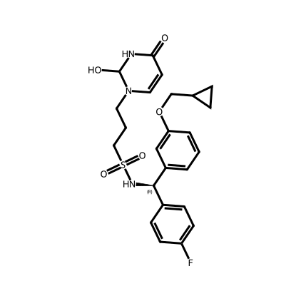 O=C1C=CN(CCCS(=O)(=O)N[C@H](c2ccc(F)cc2)c2cccc(OCC3CC3)c2)C(O)N1